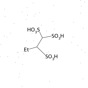 CCC(C(S(=O)(=O)O)S(=O)(=O)O)S(=O)(=O)O